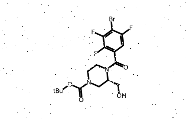 CC(C)(C)OC(=O)N1CCN(C(=O)c2cc(F)c(Br)c(F)c2F)[C@@H](CO)C1